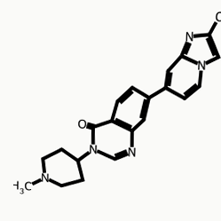 Cc1cn2ccc(-c3ccc4c(=O)n(C5CCN(C)CC5)cnc4c3)cc2n1